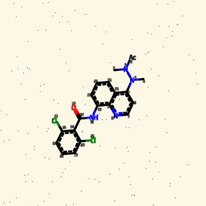 CC(=O)N(C)N(C)c1ccnc2c(NC(=O)c3c(Cl)cccc3Cl)cccc12